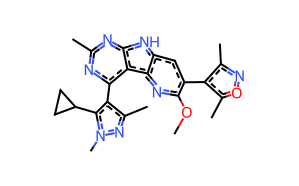 COc1nc2c(cc1-c1c(C)noc1C)[nH]c1nc(C)nc(-c3c(C)nn(C)c3C3CC3)c12